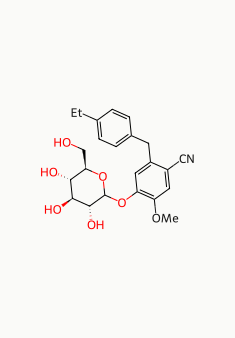 CCc1ccc(Cc2cc(OC3O[C@H](CO)[C@@H](O)[C@H](O)[C@H]3O)c(OC)cc2C#N)cc1